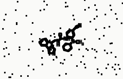 CN(c1cc(C#N)ccc1NC(=O)NCC1c2ccccc2-c2cncn21)C1CCCCC1